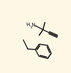 C#CC(C)(C)N.CCc1ccccc1